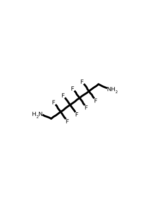 NCC(F)(F)C(F)(F)C(F)(F)C(F)(F)CN